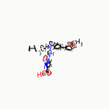 CCCN(CCNC(=O)n1ccc(C(=O)O)n1)C(C)c1ccc(-c2cccc(S(C)(=O)=O)c2)cc1